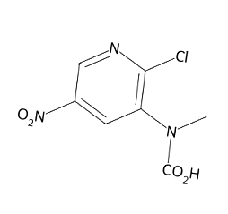 CN(C(=O)O)c1cc([N+](=O)[O-])cnc1Cl